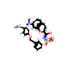 CC(C)(C)c1ccc(OCc2ccccc2)cc1.CN(C)c1ccc2cc(C(=O)N=S(=O)=O)oc2c1